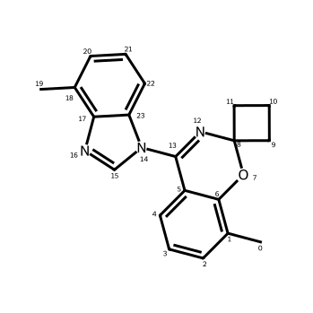 Cc1cccc2c1OC1(CCC1)N=C2n1cnc2c(C)cccc21